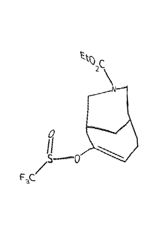 CCOC(=O)N1CC2CC=C(OS(=O)C(F)(F)F)C(C2)C1